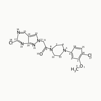 COc1cc(N2CCN(C(=O)Cn3cc4cnc(Cl)nc4n3)CC2)ccc1Cl